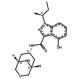 CC[C@H](C)n1nc(C(=O)N[C@H]2C[C@H]3COC[C@@H](C2)N3)c2c(O)cccc21